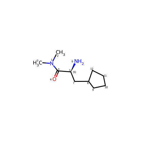 CN(C)C(=O)[C@@H](N)CC1CCCC1